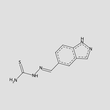 NC(=S)NN=Cc1ccc2[nH]ncc2c1